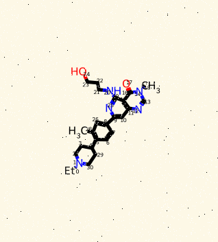 CCN1CCC(c2ccc(-c3cc4ncn(C)c(=O)c4c(NCCCO)n3)cc2C)CC1